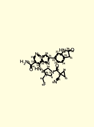 N#CC1(C(=O)N2C[C@@H](CF)[C@H](Nc3c(C(N)=O)cnn4cc(-c5ccc6c(c5)NC(=O)C6)nc34)C2)CC1